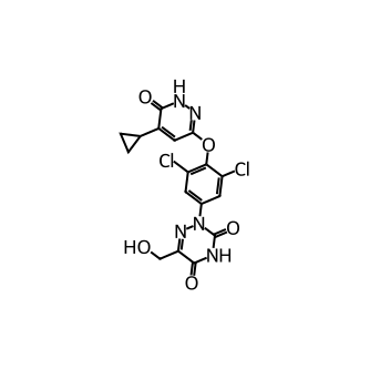 O=c1[nH]nc(Oc2c(Cl)cc(-n3nc(CO)c(=O)[nH]c3=O)cc2Cl)cc1C1CC1